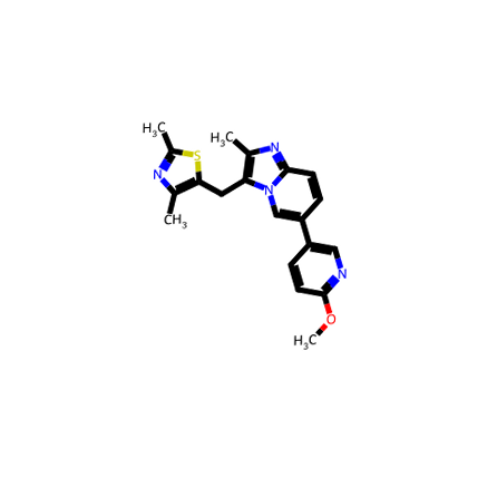 COc1ccc(-c2ccc3nc(C)c(Cc4sc(C)nc4C)n3c2)cn1